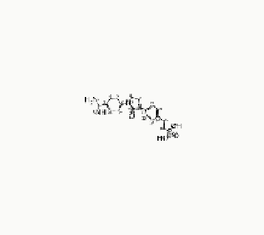 N=C(N)c1ccc(N2CCN(c3ccc(CCP(=O)(O)O)cc3)C2=O)cc1